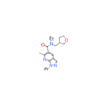 CCN(CC1CCOC1)C(=O)c1cc2cnn(C(C)C)c2nc1C